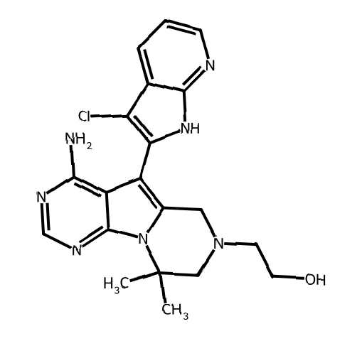 CC1(C)CN(CCO)Cc2c(-c3[nH]c4ncccc4c3Cl)c3c(N)ncnc3n21